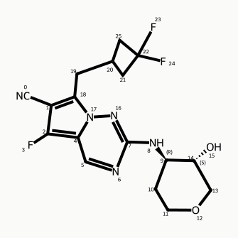 N#Cc1c(F)c2cnc(N[C@@H]3CCOC[C@H]3O)nn2c1CC1CC(F)(F)C1